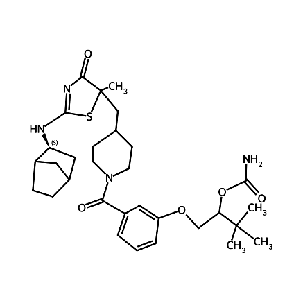 CC1(CC2CCN(C(=O)c3cccc(OCC(OC(N)=O)C(C)(C)C)c3)CC2)SC(N[C@H]2CC3CCC2C3)=NC1=O